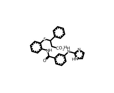 O=C(O)CC(Sc1ccccc1NC(=O)c1cccc(Nc2ncc[nH]2)c1)c1ccccc1